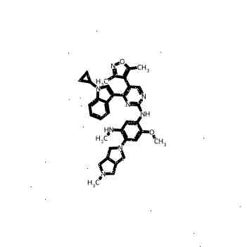 CNc1cc(Nc2ncc(-c3c(C)noc3C)c(-c3cn(C4CC4)c4ccccc34)n2)c(OC)cc1N1CC2CN(C)CC2C1